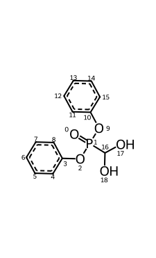 O=P(Oc1ccccc1)(Oc1ccccc1)C(O)O